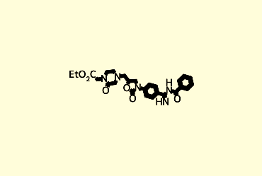 CCOC(=O)CN1CCN(CC2CN(c3ccc(C(=N)NC(=O)c4ccccc4)cc3)C(=O)O2)CC1=O